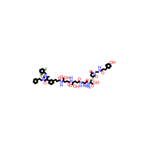 Cc1c(-c2cccc(CCC(=O)NC(CCC(=O)NC(CCC(=O)NCC(N)C(=O)NC(CSC3CC(=O)N(CCNC(=O)CCc4ccc(O)cc4)C3=O)C(=O)O)C(=O)O)C(=O)O)c2)c(=O)n(CCc2ccccc2)c(=O)n1Cc1c(F)cccc1F